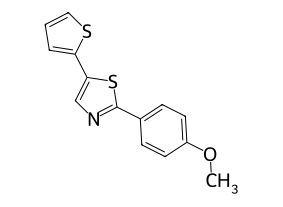 COc1ccc(-c2ncc(-c3cccs3)s2)cc1